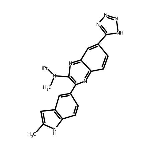 Cc1cc2cc(-c3nc4ccc(-c5nnn[nH]5)cc4nc3N(C)C(C)C)ccc2[nH]1